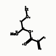 C=C(C)C(=O)OC(COCC)OC